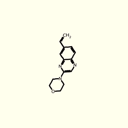 C=Cc1ccc2ncc(N3CCOCC3)nc2c1